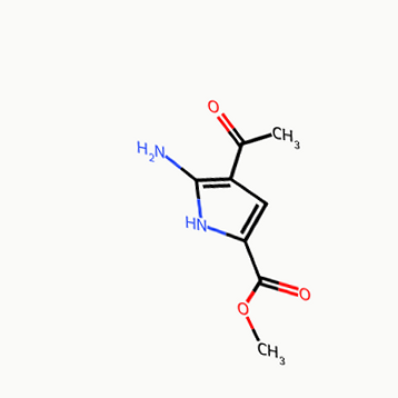 COC(=O)c1cc(C(C)=O)c(N)[nH]1